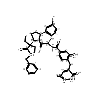 CCC(CC)(C(=O)OCc1ccccc1)[C@H]1CC[C@@H](c2cccc(F)c2)N1C(=O)[C@@H](C)NC(=O)c1ccc(Cc2cc(C)n[nH]c2=O)c(O)c1